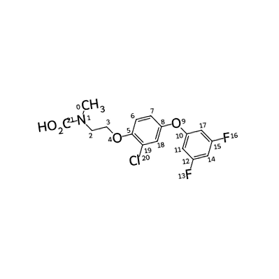 CN(CCOc1ccc(Oc2cc(F)cc(F)c2)cc1Cl)C(=O)O